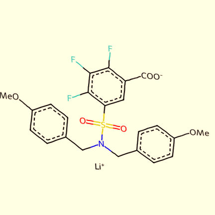 COc1ccc(CN(Cc2ccc(OC)cc2)S(=O)(=O)c2cc(C(=O)[O-])c(F)c(F)c2F)cc1.[Li+]